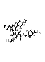 N[C@@H]1CC(C(=O)NCCc2ccc(C(F)(F)F)cc2)N(c2cc(N3CCC(CO)CC3)nc(C(F)(F)F)n2)C1